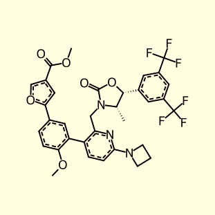 COC(=O)c1coc(-c2ccc(OC)c(-c3ccc(N4CCC4)nc3CN3C(=O)O[C@H](c4cc(C(F)(F)F)cc(C(F)(F)F)c4)[C@@H]3C)c2)c1